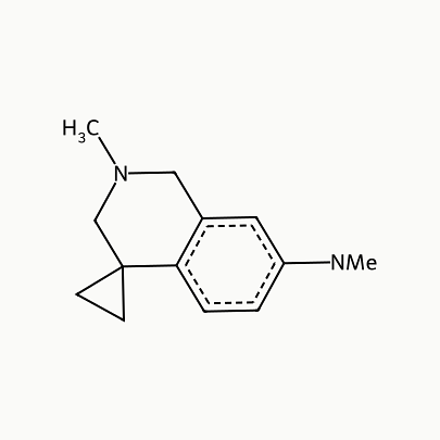 CNc1ccc2c(c1)CN(C)CC21CC1